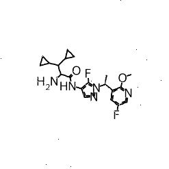 COc1ncc(F)cc1[C@H](C)n1ncc(NC(=O)C(N)C(C2CC2)C2CC2)c1F